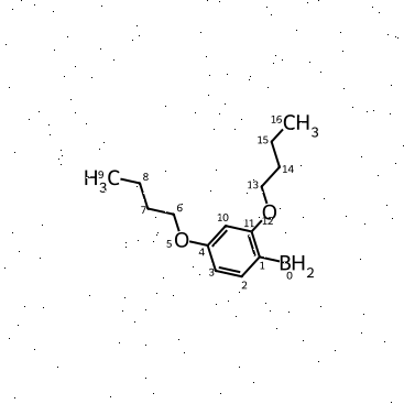 Bc1ccc(OCCCC)cc1OCCCC